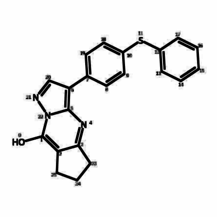 Oc1c2c(nc3c(-c4ccc(Sc5ccccc5)cc4)cnn13)CCC2